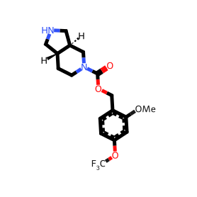 COc1cc(OC(F)(F)F)ccc1COC(=O)N1CC[C@@H]2CNC[C@H]2C1